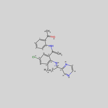 C=C(Nc1ccccc1C(C)=O)c1cc(Cl)cc(C)c1/N=C(\C)c1cnccn1